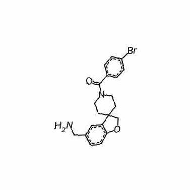 NCc1ccc2c(c1)C1(CCN(C(=O)c3ccc(Br)cc3)CC1)CO2